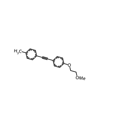 COCCOc1ccc(C#Cc2ccc(C)cc2)cc1